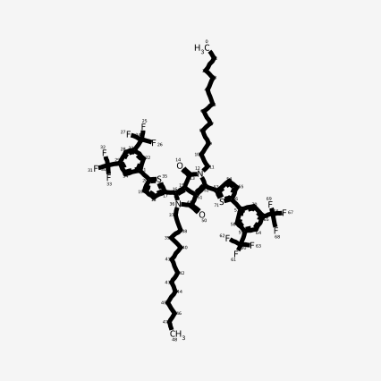 CCCCCCCCCCCCN1C(=O)C2=C(c3ccc(-c4cc(C(F)(F)F)cc(C(F)(F)F)c4)s3)N(CCCCCCCCCCCC)C(=O)C2=C1c1ccc(-c2cc(C(F)(F)F)cc(C(F)(F)F)c2)s1